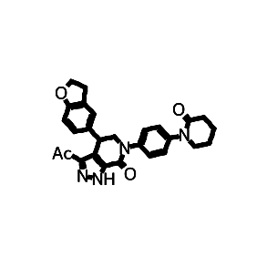 CC(=O)c1n[nH]c2c1C(c1ccc3c(c1)CCO3)CN(c1ccc(N3CCCCC3=O)cc1)C2=O